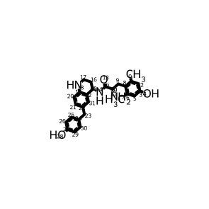 Cc1cc(O)cc(C)c1C[C@H](N)C(=O)N[C@@H]1CCNc2ccc(Cc3ccc(O)cc3)cc21